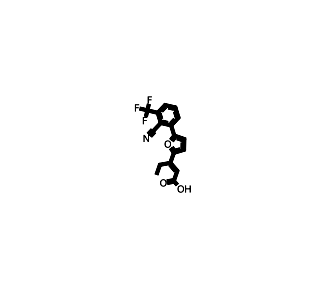 CC/C(=C\C(=O)O)c1ccc(-c2cccc(C(F)(F)F)c2C#N)o1